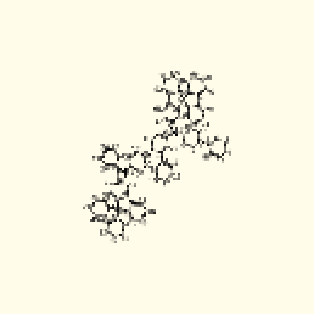 c1ccc(-c2ccc(N(c3cccc(-c4ccccc4-c4ccc5c6ccccc6n(-c6ccc7c(c6)-c6ccccc6C7(c6ccccc6)c6ccccc6)c5c4)c3)c3ccc4c(c3)C3(c5ccccc5-c5ccccc53)c3ccccc3-4)cc2)cc1